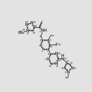 C=C(NCc1ccc(-c2ncnc(Nc3cnn(C)c3)n2)c(F)c1C)c1cn(C(C)(C)C)nn1